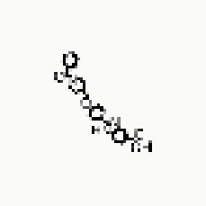 O=C(O)c1ccc2[nH]c(-c3ccc(OCC4CCN(C(=O)c5ccccc5)CC4)cc3)nc2c1